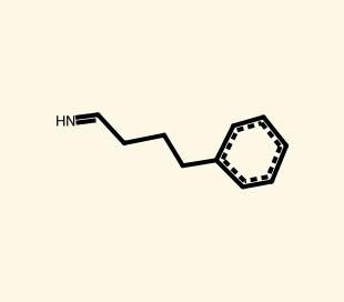 N=CCCCc1ccccc1